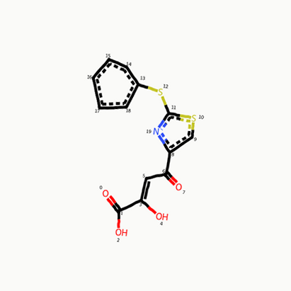 O=C(O)/C(O)=C/C(=O)c1csc(Sc2ccccc2)n1